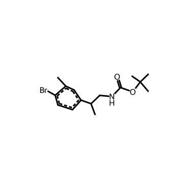 Cc1cc(C(C)CNC(=O)OC(C)(C)C)ccc1Br